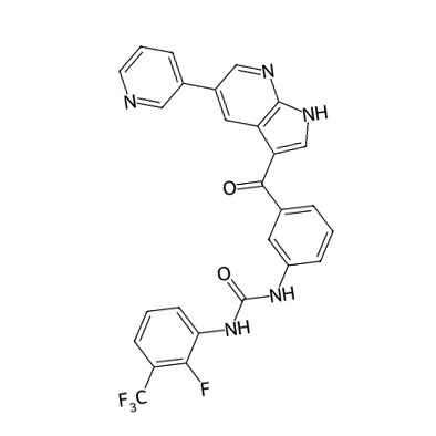 O=C(Nc1cccc(C(=O)c2c[nH]c3ncc(-c4cccnc4)cc23)c1)Nc1cccc(C(F)(F)F)c1F